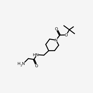 CC(C)(C)OC(=O)N1CCC(CNC(=O)CN)CC1